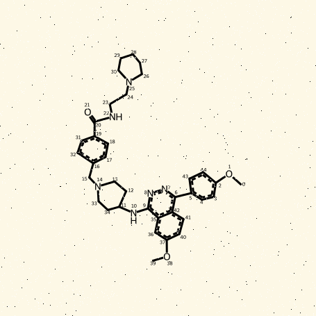 COc1ccc(-c2nnc(NC3CCN(Cc4ccc(C(=O)NCCN5CCCCC5)cc4)CC3)c3cc(OC)ccc23)cc1